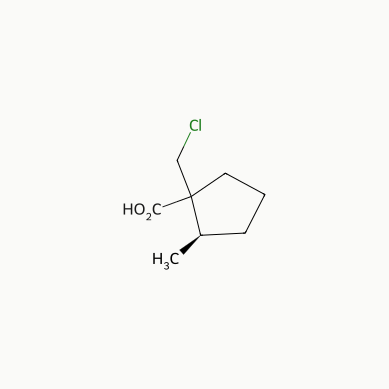 C[C@@H]1CCCC1(CCl)C(=O)O